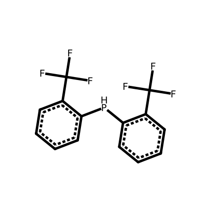 FC(F)(F)c1ccccc1Pc1ccccc1C(F)(F)F